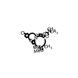 COC[C@H]1[C@@H](C)CCC[C@@H]([C@H]2OC[C@@H](N(C)C)CO2)[C@@H]2CC[C@H]2CN2CCCCc3cc(Cl)ccc3COc3ccc(cc32)C(=O)NS1(=O)=O